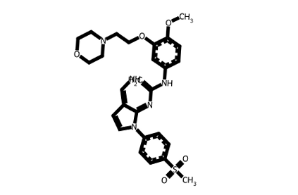 C=C(/N=C1\C(=C/N)C=CN1c1ccc(S(C)(=O)=O)cc1)Nc1ccc(OC)c(OCCN2CCOCC2)c1